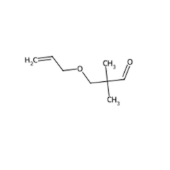 C=CCOCC(C)(C)C=O